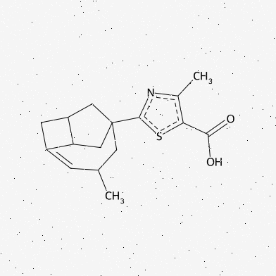 Cc1nc(C23CC(C)C=C4CC(C2)C4C3)sc1C(=O)O